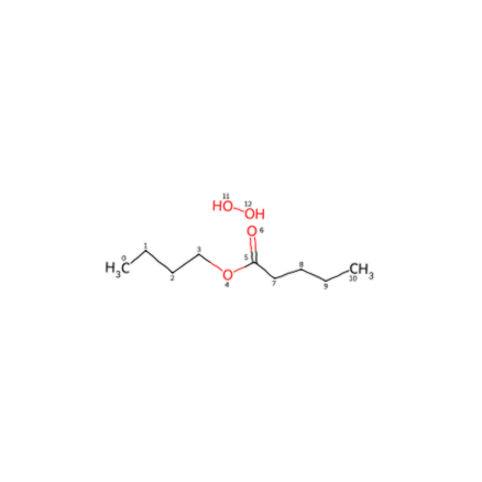 CCCCOC(=O)CCCC.OO